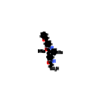 CC(C)(C)c1ccc(C(Cc2ccc(NC(=O)CCS(=O)(=O)O)cc2)C(=O)Nc2ccc(-c3cc4ccccc4o3)cc2)cc1.[NaH]